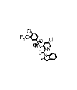 CC1Cc2ccccc2N1C(=O)c1ncc(Cl)cc1NS(=O)(=O)c1ccc(Cl)c(C(F)(F)F)c1